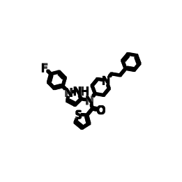 O=C(c1cccs1)N(C1CCN(CCc2ccccc2)CC1)C1C=CN(c2ccc(F)cc2)N1